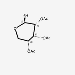 CC(=O)O[C@@H]1[C@H](OC(C)=O)[C@H](OC(C)=O)CO[C@H]1S